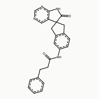 O=C(CCc1ccccc1)Nc1ccc2c(c1)CC1(C2)C(=O)Nc2ncncc21